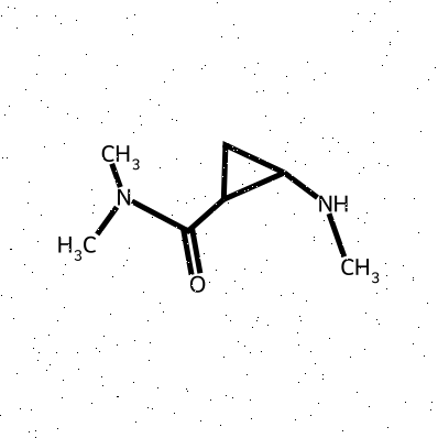 CNC1CC1C(=O)N(C)C